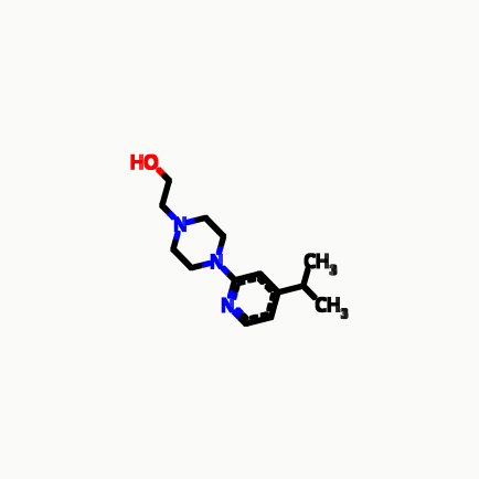 CC(C)c1ccnc(N2CCN(CCO)CC2)c1